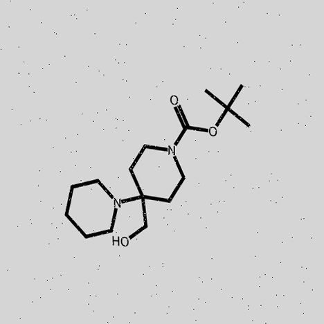 CC(C)(C)OC(=O)N1CCC(CO)(N2CCCCC2)CC1